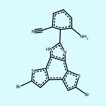 N#Cc1cccc(N)c1-c1nc2c([nH]1)c1sc(Br)cc1c1cc(Br)sc12